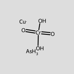 [AsH3].[Cu].[O]=[Cr](=[O])([OH])[OH]